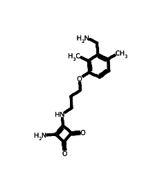 Cc1ccc(OCCCNc2c(N)c(=O)c2=O)c(C)c1CN